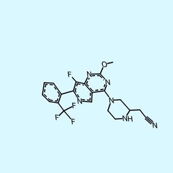 COc1nc(N2CCNC(CC#N)C2)c2cnc(-c3ccccc3C(F)(F)F)c(F)c2n1